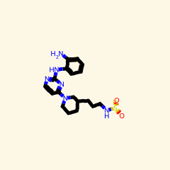 Nc1ccccc1Nc1nccc(N2CCCC(CCCN[SH](=O)=O)C2)n1